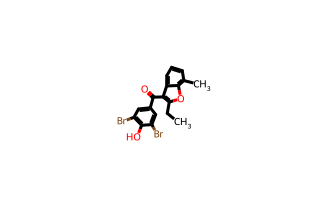 CCc1oc2c(C)cccc2c1C(=O)c1cc(Br)c(O)c(Br)c1